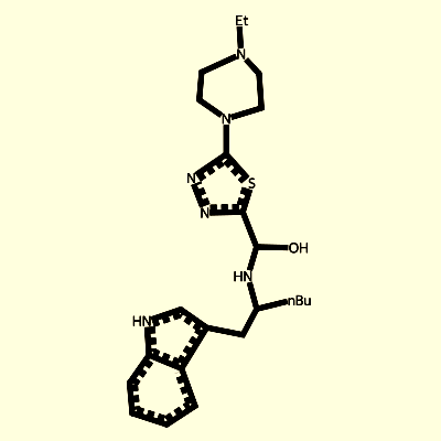 CCCCC(Cc1c[nH]c2ccccc12)NC(O)c1nnc(N2CCN(CC)CC2)s1